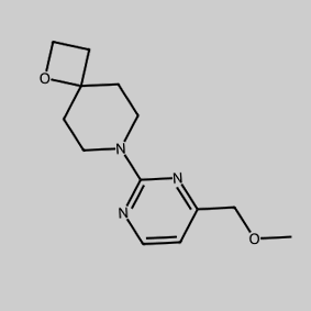 COCc1ccnc(N2CCC3(CCO3)CC2)n1